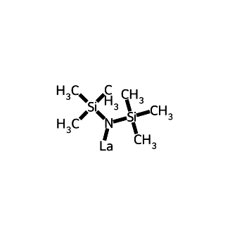 C[Si](C)(C)[N]([La])[Si](C)(C)C